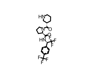 O=C(N[C@@H](c1ccc(C(F)(F)F)cc1)C(F)(F)F)[C@H]1CCCN1C(=O)[C@H]1CCCNC1